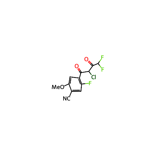 COc1cc(C(=O)C(Cl)C(=O)C(F)F)c(F)cc1C#N